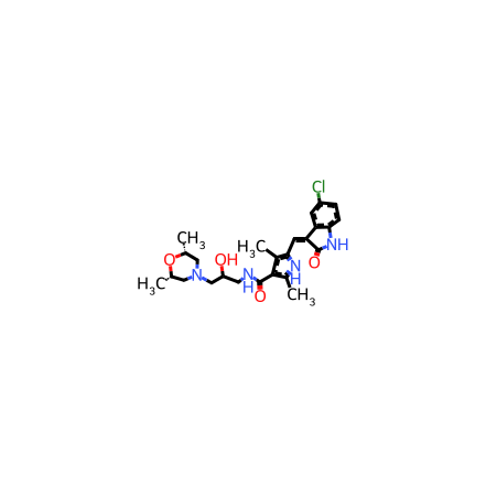 Cc1[nH]c(/C=C2\C(=O)Nc3ccc(Cl)cc32)c(C)c1C(=O)NCC(O)CN1C[C@@H](C)O[C@@H](C)C1